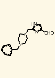 O=Cc1c[nH]c(CN2CCN(Cc3ccccc3)CC2)n1